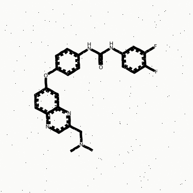 CN(C)Cc1cnc2ccc(Oc3ccc(NC(=O)Nc4ccc(F)c(F)c4)cc3)cc2n1